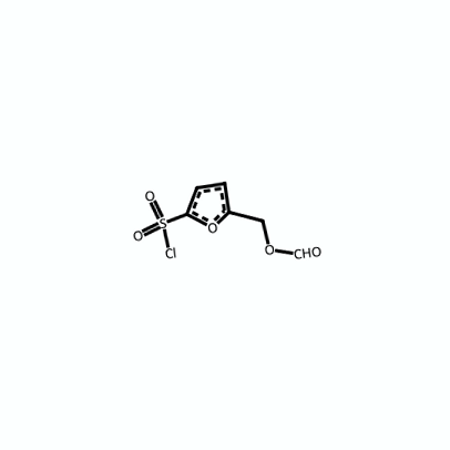 O=COCc1ccc(S(=O)(=O)Cl)o1